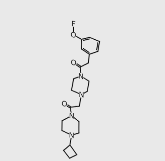 O=C(Cc1cccc(OF)c1)N1CCN(CC(=O)N2CCN(C3CCC3)CC2)CC1